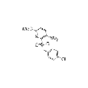 COc1ccc([N+](=O)[O-])c(S(=O)(=O)Cc2ccc(Cl)cc2)n1